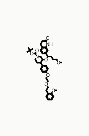 COCCCC(OC1CN(C(=O)OC(C)(C)C)CCC1c1ccc(OCCOCCc2ccccc2OC)cc1)c1ccc2c(c1)NC(=O)CC2